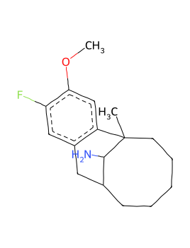 COc1cc2c(cc1F)CC1CCCCCC2(C)C1N